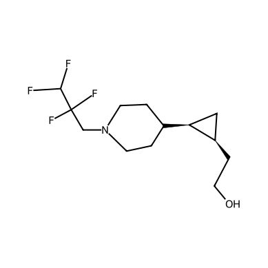 OCC[C@@H]1C[C@@H]1C1CCN(CC(F)(F)C(F)F)CC1